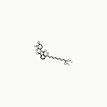 CC(C)CCCCCCCCNc1cccc2c1C(=O)N(C1CCC(=O)NC1=O)C2=O